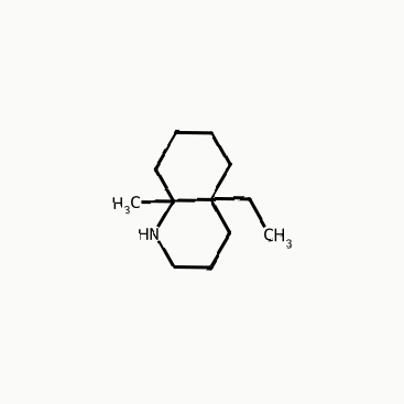 CCC12CCCCC1(C)NCCC2